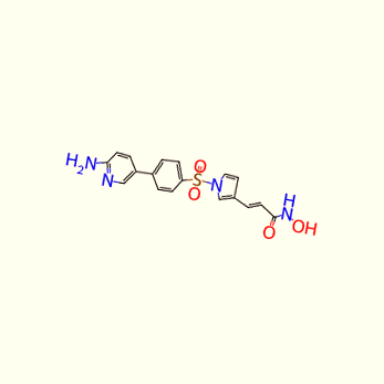 Nc1ccc(-c2ccc(S(=O)(=O)n3ccc(/C=C/C(=O)NO)c3)cc2)cn1